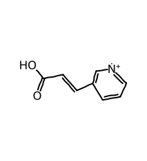 O=C(O)C=CC1=C[N+]=CC=C1